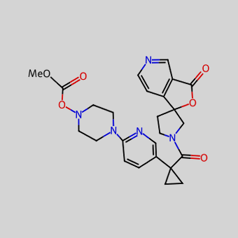 COC(=O)ON1CCN(c2ccc(C3(C(=O)N4CCC5(C4)OC(=O)c4cnccc45)CC3)cn2)CC1